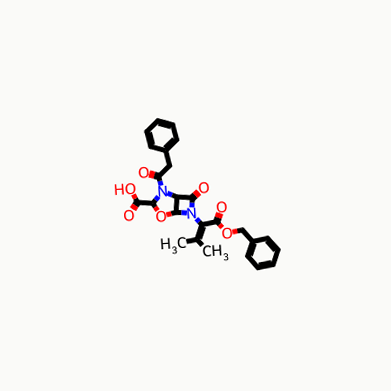 CC(C)=C(C(=O)OCc1ccccc1)N1C(=O)C2C1OC(C(=O)O)N2C(=O)Cc1ccccc1